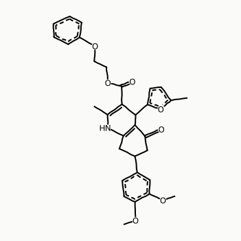 COc1ccc(C2CC(=O)C3=C(C2)NC(C)=C(C(=O)OCCOc2ccccc2)C3c2ccc(C)o2)cc1OC